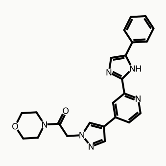 O=C(Cn1cc(-c2ccnc(-c3ncc(-c4ccccc4)[nH]3)c2)cn1)N1CCOCC1